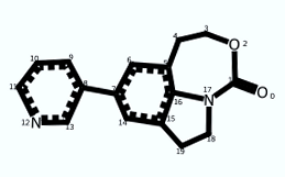 O=C1OCCc2cc(-c3cccnc3)cc3c2N1CC3